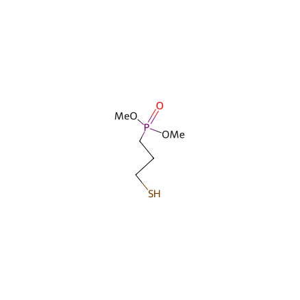 COP(=O)(CCCS)OC